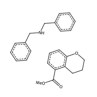 COC(=O)c1cccc2c1CCCO2.c1ccc(CNCc2ccccc2)cc1